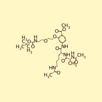 COC(=O)c1ccc(NC(=O)[C@H](CCCCNC(C)=O)NC(=O)[C@H](C)NC(C)=O)cc1OCCOCCNC(=O)OC(C)(C)C